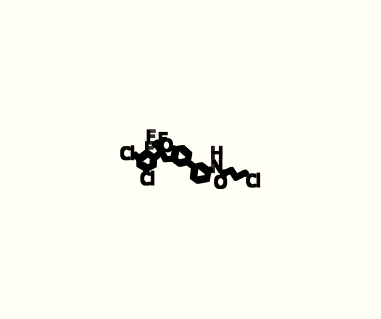 O=C(CCCCl)Nc1cccc(-c2ccc3c(c2)CC(c2cc(Cl)cc(Cl)c2)(C(F)(F)F)O3)c1